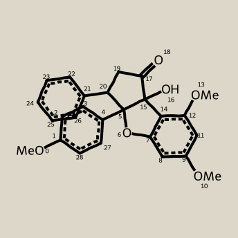 COc1ccc(C23Oc4cc(OC)cc(OC)c4C2(O)C(=O)CC3c2ccccc2)cc1